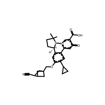 CC1(C)CC[C@@H]2c3cc(OCC45CC(C#N)C(C4)C5)c(C4CC4)cc3-c3cc(=O)c(C(=O)O)cn3N21